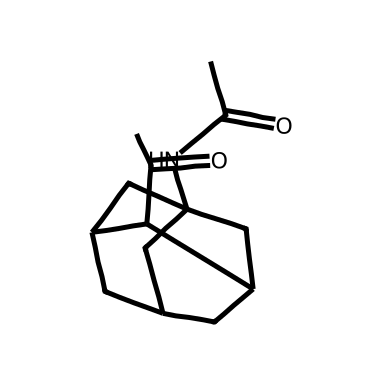 CC(=O)NC12CC3CC(C1)C(C(C)=O)C(C3)C2